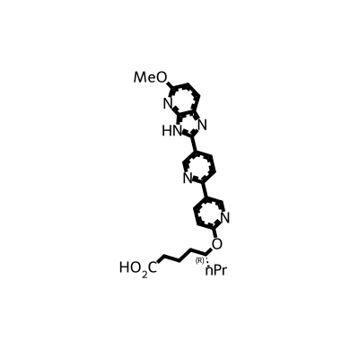 CCC[C@H](CCCC(=O)O)Oc1ccc(-c2ccc(-c3nc4ccc(OC)nc4[nH]3)cn2)cn1